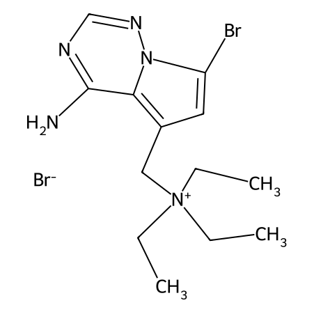 CC[N+](CC)(CC)Cc1cc(Br)n2ncnc(N)c12.[Br-]